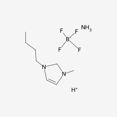 CCCCN1C=CN(C)C1.F[B-](F)(F)F.N.[H+]